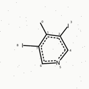 Cc1c(I)cncc1I